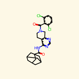 O=C(c1c(Cl)cccc1Cl)N1CCc2c(ncnc2NC(=O)C23CC4CC(CC(C4)C2)C3)C1